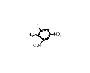 Cc1c(F)cc([N+](=O)[O-])cc1[N+](=O)[O-]